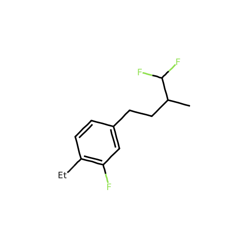 CCc1ccc(CCC(C)C(F)F)cc1F